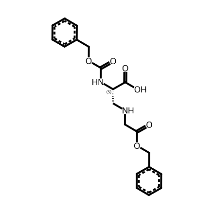 O=C(CNC[C@H](NC(=O)OCc1ccccc1)C(=O)O)OCc1ccccc1